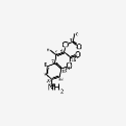 CC(=O)Oc1c(C)c2ccc(N)cc2oc1=O